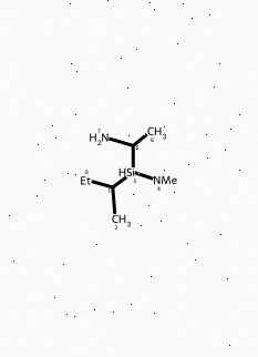 CCC(C)[SiH](NC)C(C)N